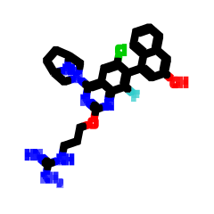 N=C(N)NCCCOc1nc(N2CC3CCC(C2)N3)c2cc(Cl)c(-c3cc(O)cc4ccccc34)c(F)c2n1